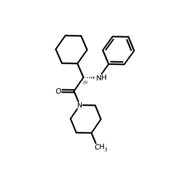 CC1CCN(C(=O)[C@@H](Nc2ccccc2)C2CCCCC2)CC1